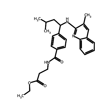 CCOC(=O)CCNC(=O)c1ccc(C(CC(C)C)Nc2nc3ccccc3cc2C)cc1